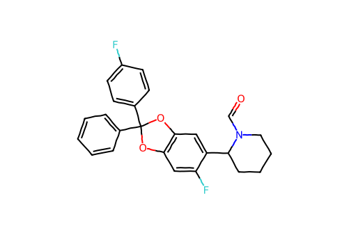 O=CN1CCCCC1c1cc2c(cc1F)OC(c1ccccc1)(c1ccc(F)cc1)O2